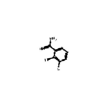 N=C(N)c1cccc(Cl)c1Cl